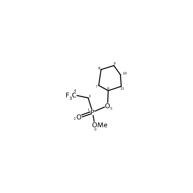 COP(=O)(CC(F)(F)F)OC1CCCCC1